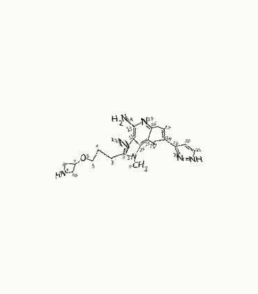 Cn1c(CCCOC2CNC2)nc2c(N)nc3cc(-c4cc[nH]n4)sc3c21